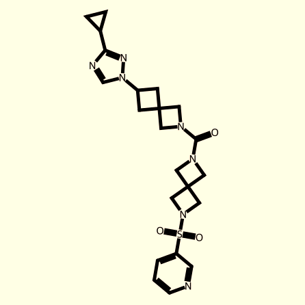 O=C(N1CC2(CC(n3cnc(C4CC4)n3)C2)C1)N1CC2(C1)CN(S(=O)(=O)c1cccnc1)C2